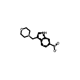 O=[N+]([O-])c1ccc2c(CN3CCOCC3)c[nH]c2c1